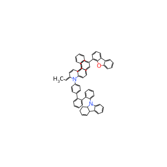 C/C=C(\C=C/Cc1ccc(-c2cccc3c2oc2ccccc23)cc1)N(c1ccc(-c2ccccc2-c2ccccc2N2c3ccccc3C3C=CCCC32)cc1)c1cccc(-c2ccccc2)c1